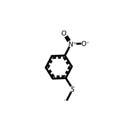 [CH2]Sc1cccc([N+](=O)[O-])c1